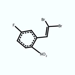 O=[N+]([O-])c1ccc(F)cc1C=C(Br)Br